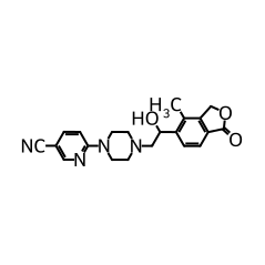 Cc1c(C(O)CN2CCN(c3ccc(C#N)cn3)CC2)ccc2c1COC2=O